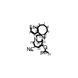 C/C=C\C1=C(/CC)CCCCC[C@@]12CN1CC(=N2)C(OC(C)F)=C[C@H](C#N)C1